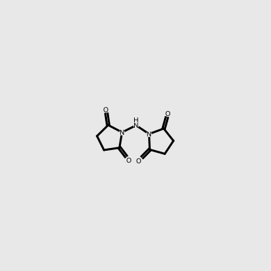 O=C1CCC(=O)N1NN1C(=O)CCC1=O